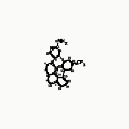 Nc1ccc(-c2ccc3ccc4cccc(-c5cccc(C(F)(F)F)c5)c4c3n2)cn1